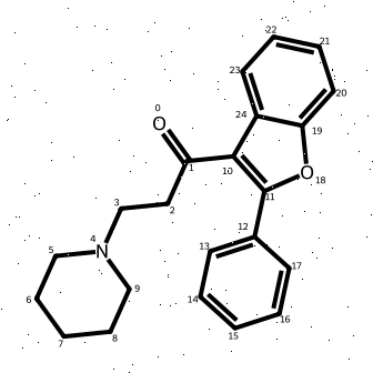 O=C(CCN1CCCCC1)c1c(-c2ccccc2)oc2ccccc12